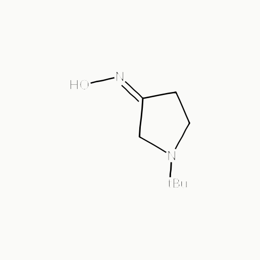 CC(C)(C)N1CC/C(=N/O)C1